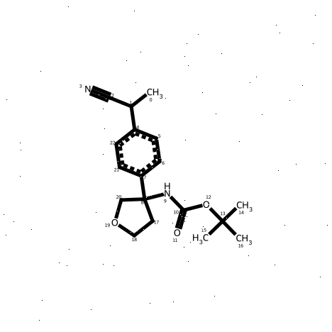 CC(C#N)c1ccc(C2(NC(=O)OC(C)(C)C)CCOC2)cc1